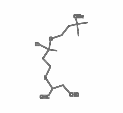 CCC(C)(CCSC(C=O)CC=O)OCCC(C)(C)OC